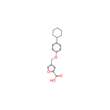 O=C(O)c1cc(COc2ccc(C3CCCCC3)cc2)co1